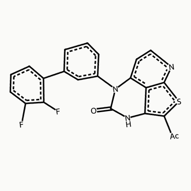 CC(=O)c1sc2nccc3c2c1NC(=O)N3c1cccc(-c2cccc(F)c2F)c1